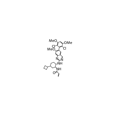 C=CC(=O)NC1CC(C2CCC2)CCC1Nc1ncc2cc(-c3c(Cl)c(OC)cc(OC)c3Cl)c(OC)cc2n1